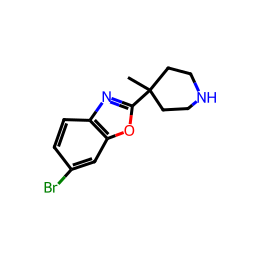 CC1(c2nc3ccc(Br)cc3o2)CCNCC1